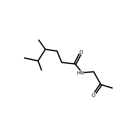 CC(=O)CNC(=O)CCC(C)C(C)C